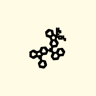 CC1(C)c2ccccc2-c2cc(N(c3ccc4c5ccccc5n(-c5ccccc5)c4c3)c3cccc4ccccc34)ccc21